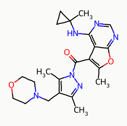 Cc1nn(C(=O)c2c(C)oc3ncnc(NC4(C)CC4)c23)c(C)c1CN1CCOCC1